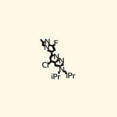 Cc1cn2cc(-c3cc(Cl)c4cc(N(CC(C)C)CC(C)C)cnc4n3)cc(F)c2n1